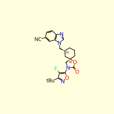 CC(C)(C)c1noc(N2C[C@@]3(CCC[C@H](Cn4cnc5ccc(C#N)cc54)C3)OC2=O)c1F